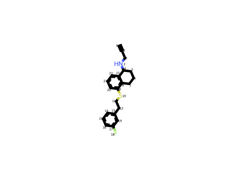 C#CCNC1CCCc2c(SCCc3cccc(F)c3)cccc21